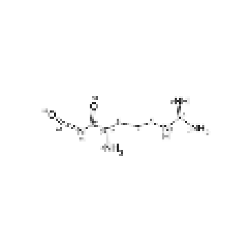 N=C(N)NCCC[C@H](N)C(=O)N=C=O